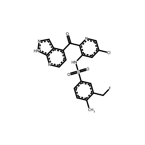 Cc1ccc(S(=O)(=O)Nc2cc(Cl)cnc2C(=O)c2ccnc3[nH]ncc23)cc1CF